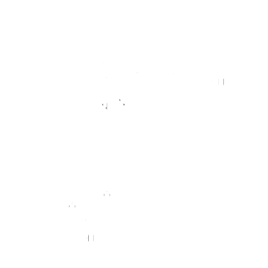 CCOCCSc1c(-c2ccccc2)c(-c2ccccc2)nn1C[C@H]1CC[C@@H](COCC(=O)O)CC1